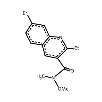 CCc1nc2cc(Br)ccc2cc1C(=O)N(C)OC